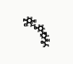 C=C(C)C(=O)Nc1cnc(-c2cccc(OCCc3c(Cl)ccc(F)c3Cl)c2)nc1